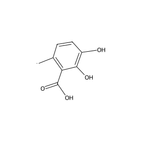 [CH2]c1ccc(O)c(O)c1C(=O)O